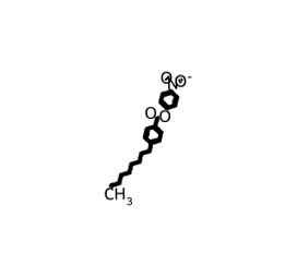 CCCCCCCCCc1ccc(C(=O)Oc2ccc([N+](=O)[O-])cc2)cc1